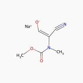 COC(=O)N(C)C(C#N)=C[O-].[Na+]